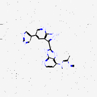 C=N/C(C)=C\N(C)c1ccnc2[nH]c(-c3n[nH]c4ncc(-c5cncnc5)cc34)nc12